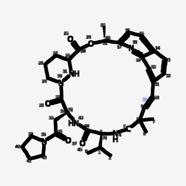 CC(C)[C@@H]1NCC(C)(C)/C=C/c2ccc3ccc(nc3c2)[C@@H](C)OC(=O)C2CCCN(N2)C(=O)[C@H](CC(=O)N2CCCC2)NC1=O